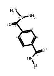 CCNC(=O)c1ccc(C(=O)N(N)N)cc1